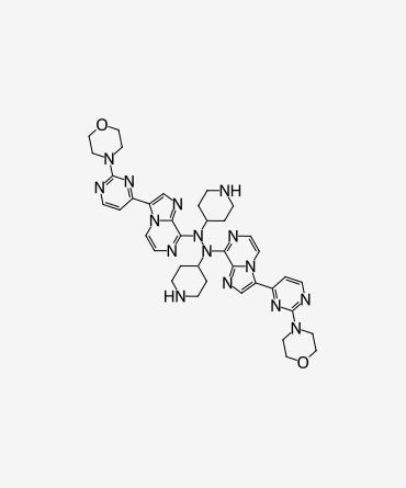 c1cc(-c2cnc3c(N(C4CCNCC4)N(c4nccn5c(-c6ccnc(N7CCOCC7)n6)cnc45)C4CCNCC4)nccn23)nc(N2CCOCC2)n1